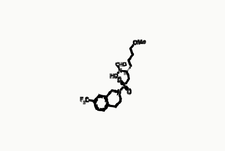 COCCCC[C@H](CS(=O)(=O)N1CCc2ccc(C(F)(F)F)cc2C1)N(O)C=O